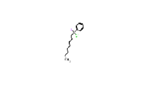 CCCCCCCC[Si](Cl)(I)c1ccccc1